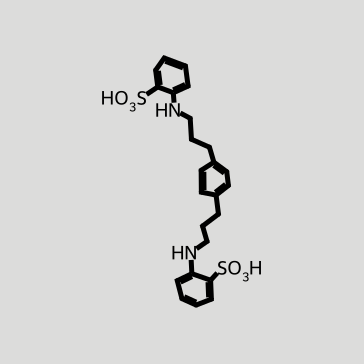 O=S(=O)(O)c1ccccc1NCCCc1ccc(CCCNc2ccccc2S(=O)(=O)O)cc1